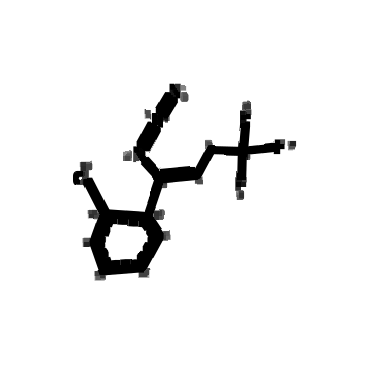 [N-]=[N+]=NC(=CCC(F)(F)F)c1ccccc1Cl